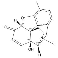 Cc1ccc2c3c1O[C@H]1C(=O)C=C[C@@]4(O)[C@@H](C2)N(C)CC[C@]314